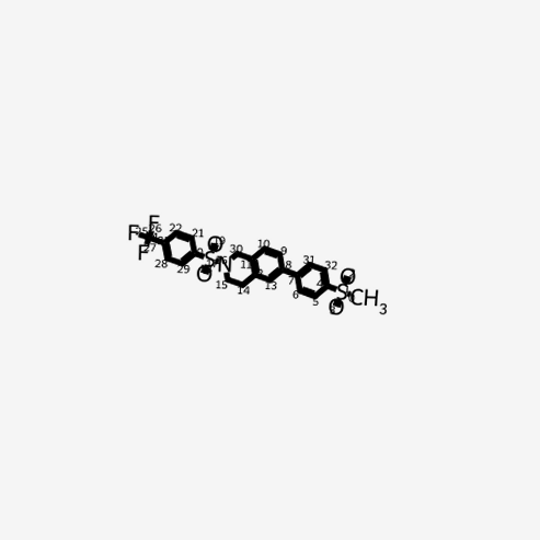 CS(=O)(=O)c1ccc(-c2ccc3c(c2)CCN(S(=O)(=O)c2ccc(C(F)(F)F)cc2)C3)cc1